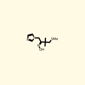 CSCC(C)(C)C(Cn1ccnc1)=NO